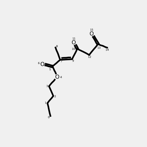 CCCCOC(=O)C(C)=CC(=O)CC(C)=O